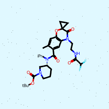 Cc1cc2c(cc1C(=O)N(C(C)C)[C@@H]1CCCN(C(=O)OC(C)(C)C)C1)N(CCNC(=O)C(F)F)C(=O)C1(CC1)O2